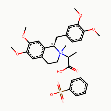 COc1ccc(C[C@@H]2c3cc(OC)c(OC)cc3CC[N+]2(C)C(C)C(=O)O)cc1OC.O=S(=O)([O-])c1ccccc1